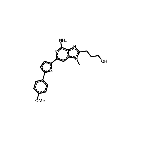 COc1ccc(-c2ccc(-c3cc4c(nc(CCCO)n4C)c(N)n3)s2)cc1